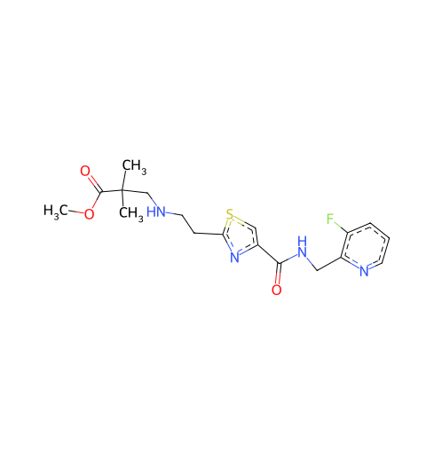 COC(=O)C(C)(C)CNCCc1nc(C(=O)NCc2ncccc2F)cs1